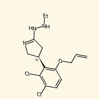 C=CCOc1ccc(Cl)c(Cl)c1[C@H]1CN=C(NNCC)C1